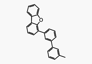 Cc1cccc(-c2cccc(-c3cccc4c3oc3ccccc34)c2)c1